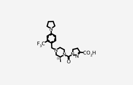 C[C@H]1CN(Cc2ccc(N3CCCC3)cc2C(F)(F)F)CCN1C(=O)N1CCC(C(=O)O)=N1